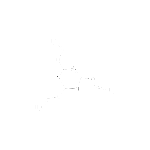 C=COc1nc(OC=C)nc(OC=C)n1